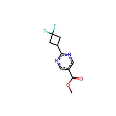 COC(=O)c1cnc(C2CC(F)(F)C2)nc1